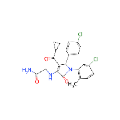 Cc1ccc(Cl)cc1N1C(=O)C(NCC(N)=O)=C(C(=O)C2CC2)C1c1ccc(Cl)cc1